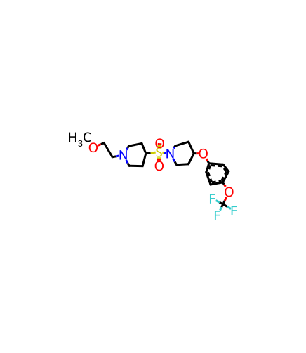 COCCN1CCC(S(=O)(=O)N2CCC(Oc3ccc(OC(F)(F)F)cc3)CC2)CC1